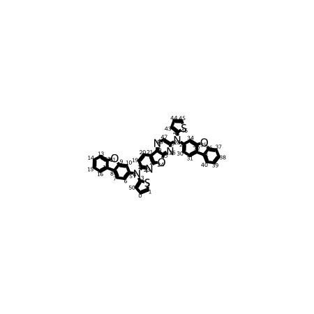 c1csc(N(c2ccc3c(c2)oc2ccccc23)c2ccc3c(n2)oc2nc(N(c4ccc5c(c4)oc4ccccc45)c4cccs4)cnc23)c1